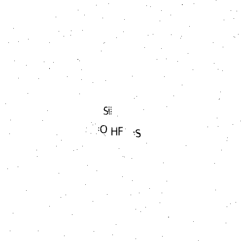 F.[O].[S].[Si]